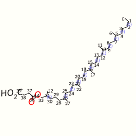 C\C=C/C=C/C(C)=C/C=C/C(C)=C/C=C/C=C(C)/C=C/C=C(C)/C=C/C=C(\C)CC/C=C(\C)COC(=O)CCC(=O)O